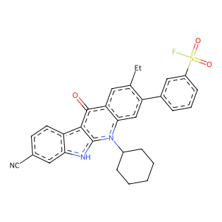 CCc1cc2c(=O)c3c4ccc(C#N)cc4[nH]c3n(C3CCCCC3)c2cc1-c1cccc(S(=O)(=O)F)c1